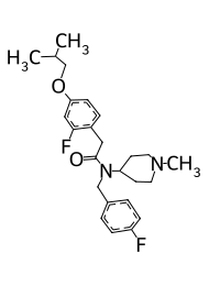 CC(C)COc1ccc(CC(=O)N(Cc2ccc(F)cc2)C2CCN(C)CC2)c(F)c1